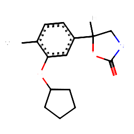 COc1ccc(C2(C)CNC(=O)O2)cc1OC1CCCC1